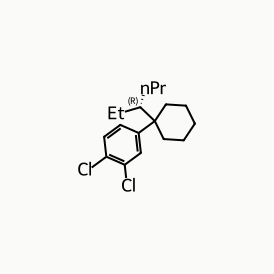 CCC[C@@H](CC)C1(c2ccc(Cl)c(Cl)c2)CCCCC1